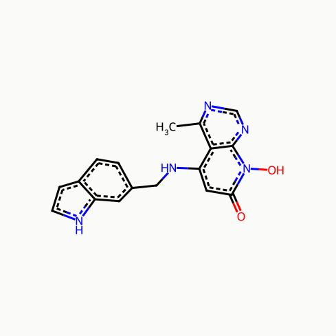 Cc1ncnc2c1c(NCc1ccc3cc[nH]c3c1)cc(=O)n2O